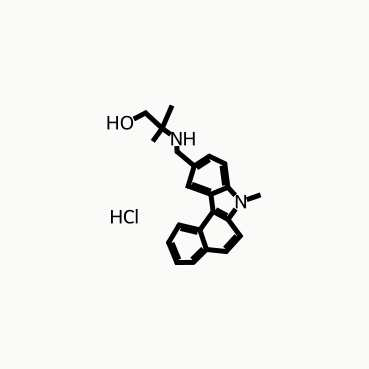 Cl.Cn1c2ccc(CNC(C)(C)CO)cc2c2c3ccccc3ccc21